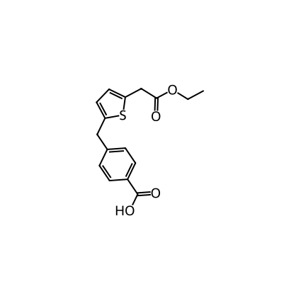 CCOC(=O)Cc1ccc(Cc2ccc(C(=O)O)cc2)s1